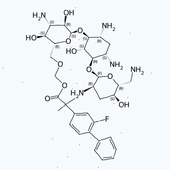 CC(C)(C(=O)OCOC[C@H]1O[C@H](O[C@@H]2[C@@H](O)[C@H](O[C@H]3O[C@H](CN)[C@@H](O)C[C@H]3N)[C@@H](N)C[C@H]2N)[C@H](O)[C@@H](N)[C@@H]1O)c1ccc(-c2ccccc2)c(F)c1